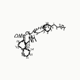 CCCCCCCN(Cc1ccc(CCC(C)C)cc1)C(=O)Nc1c(OC)ccc2ncccc12